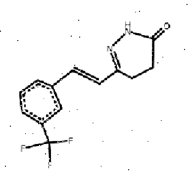 O=C1CCC(C=Cc2cccc(C(F)(F)F)c2)=NN1